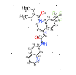 CCC(CC)C(=O)N1CC/C(=C\C(=O)Nc2ccc3cccnc3c2)c2ccc(C(F)(F)F)cc21